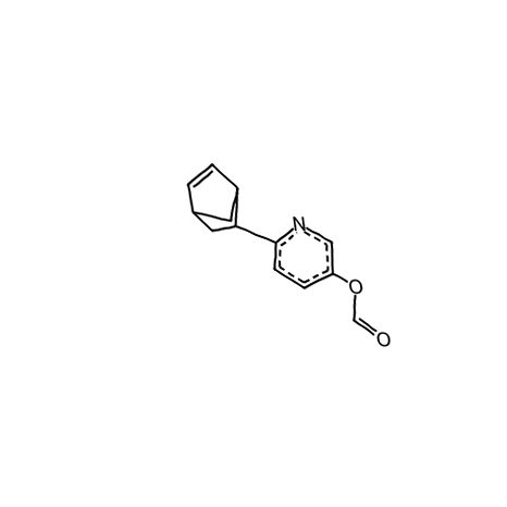 O=COc1ccc(C2CC3C=CC2C3)nc1